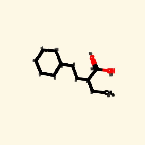 CCC(CCC1CCCCC1)C(=O)O